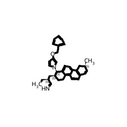 CC[C@H](C=N)C[C@@H]1CCc2c(ccc3c4c(ccc23)C=C[C@@H](C)C4)[C@H]1n1ccc(OCc2ccccc2)c1